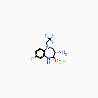 Cl.N[C@H]1CN(CC(F)(F)F)c2ccc(F)cc2NC1=O